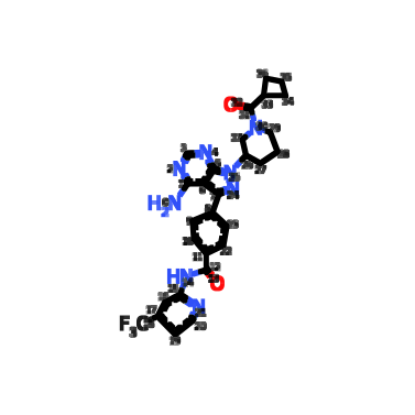 Nc1ncnc2c1c(-c1ccc(C(=O)Nc3cc(C(F)(F)F)ccn3)cc1)nn2C1CCCN(C(=O)C2CCC2)C1